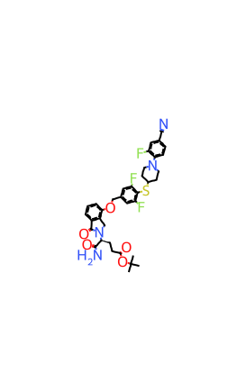 CC(C)(C)OC(=O)CC[C@@H](C(N)=O)N1Cc2c(OCc3cc(F)c(SC4CCN(c5ccc(C#N)cc5F)CC4)c(F)c3)cccc2C1=O